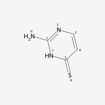 Nc1nccc(=S)[nH]1